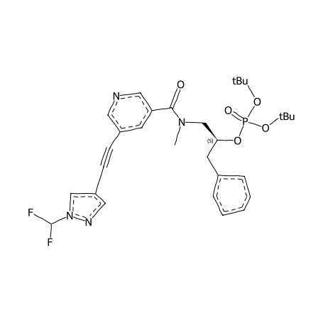 CN(C[C@H](Cc1ccccc1)OP(=O)(OC(C)(C)C)OC(C)(C)C)C(=O)c1cncc(C#Cc2cnn(C(F)F)c2)c1